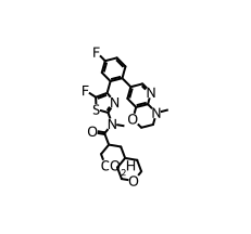 CN1CCOc2cc(-c3ccc(F)cc3-c3nc(N(C)C(=O)C(CC(=O)O)CC4CCOCC4)sc3F)cnc21